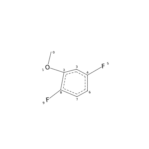 COc1cc(F)ccc1F